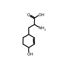 NC(CC1C=CC(O)CC1)C(=O)O